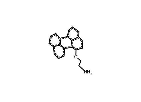 NCCOc1ccc2cccc3c4cccc5cccc(c1c23)c54